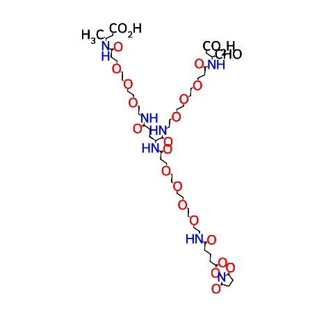 C[C@H](CC(=O)O)NC(=O)CCOCCOCCOCCNC(=O)CC[C@H](NC(=O)CCOCCOCCOCCOCCNC(=O)CCCC(=O)ON1C(=O)CCC1=O)C(=O)NCCOCCOCCOCCC(=O)N[C@H](C=O)CC(=O)O